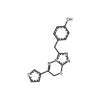 Oc1ccc(Cc2nnc3n2N=C(c2ccsc2)CS3)cc1